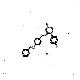 CN1CCC(c2ccc(F)cc2)C(COc2ccc(OCc3ccccc3)cc2)C1.Cl